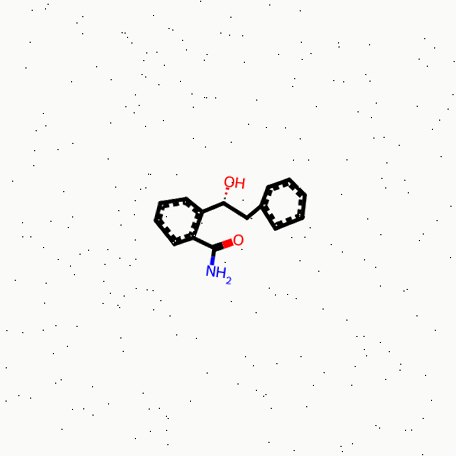 NC(=O)c1ccccc1[C@H](O)[CH]c1ccccc1